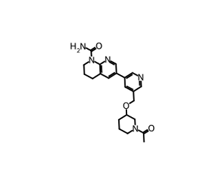 CC(=O)N1CCCC(OCc2cncc(-c3cnc4c(c3)CCCN4C(N)=O)c2)C1